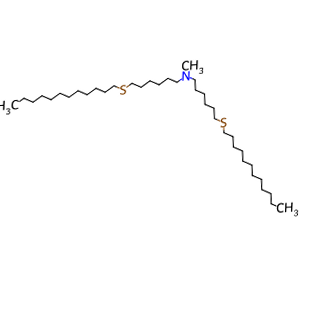 CCCCCCCCCCCCSCCCCCCN(C)CCCCCCSCCCCCCCCCCCC